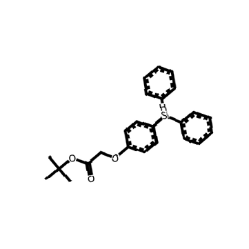 CC(C)(C)OC(=O)COc1ccc([SiH](c2ccccc2)c2ccccc2)cc1